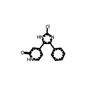 O=c1cc(-c2[nH]c(Cl)nc2-c2ccccc2)cc[nH]1